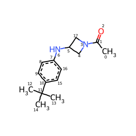 CC(=O)N1CC(Nc2ccc(C(C)(C)C)cc2)C1